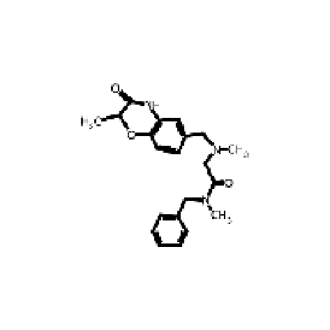 CC1Oc2ccc(CN(C)CC(=O)N(C)Cc3ccccc3)cc2NC1=O